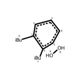 CCC(C)c1ccccc1C(C)CC.OO